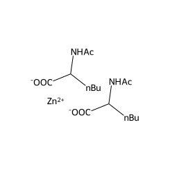 CCCCC(NC(C)=O)C(=O)[O-].CCCCC(NC(C)=O)C(=O)[O-].[Zn+2]